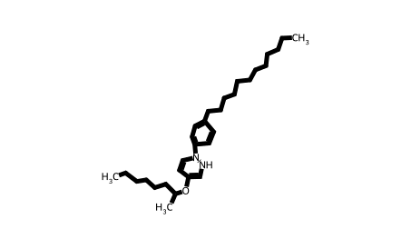 CCCCCCCCCCCCc1ccc(N2C=CC(OC(C)CCCCCC)=CN2)cc1